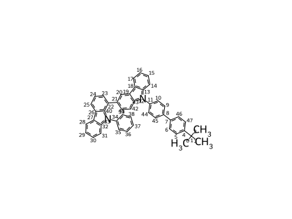 CC(C)(C)c1ccc(-c2ccc(-n3c4ccccc4c4cc(-c5cccc6c7ccccc7n(-c7ccccc7)c56)ccc43)cc2)cc1